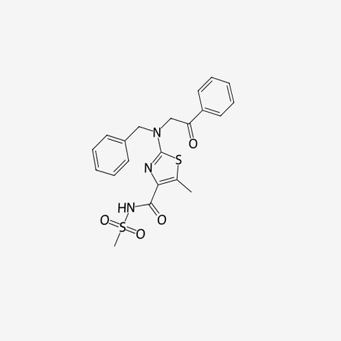 Cc1sc(N(CC(=O)c2ccccc2)Cc2ccccc2)nc1C(=O)NS(C)(=O)=O